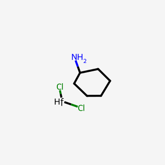 NC1CCCCC1.[Cl][Hf][Cl]